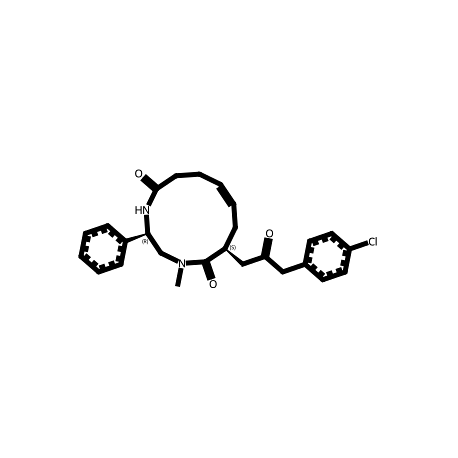 CN1C[C@@H](c2ccccc2)NC(=O)CCC=CC[C@@H](CC(=O)Cc2ccc(Cl)cc2)C1=O